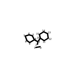 CC.CC(C1CCCCC1)C1CCCCC1